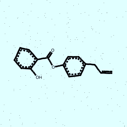 C=CCc1ccc(OC(=O)c2ccccc2O)cc1